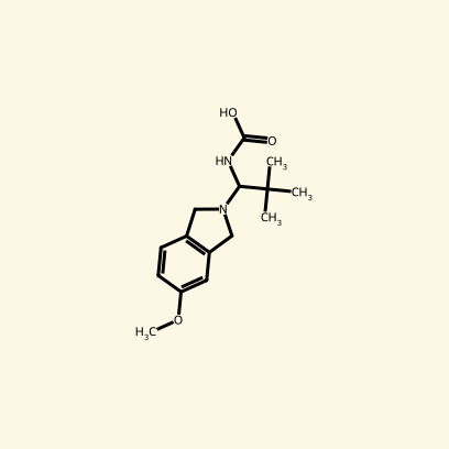 COc1ccc2c(c1)CN(C(NC(=O)O)C(C)(C)C)C2